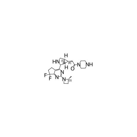 C[C@H]1CCN1c1nc(C2NC[C@H]3[C@@H](CC(=O)N4CCNCC4)[C@@H]23)c2c(n1)C(F)(F)CC2